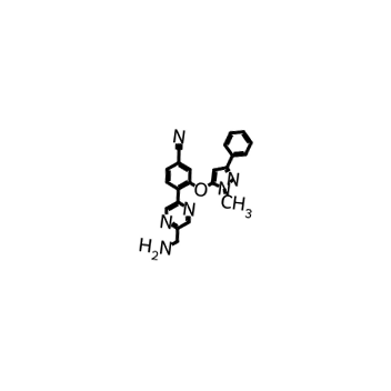 Cn1nc(-c2ccccc2)cc1Oc1cc(C#N)ccc1-c1cnc(CN)cn1